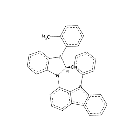 Cc1ccccc1N1c2ccccc2N(c2cccc3c4ccccc4n(-c4ccccc4)c23)[C@@H]1C